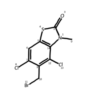 Cn1c(=O)sc2cc(Cl)c(CBr)c(Cl)c21